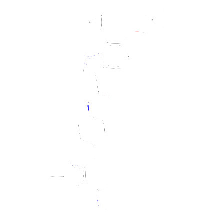 Cc1nc(O[C@H]2CC[C@H](NC(=O)c3cnn4c(C5CC5)c(OCC(C)(C)O)ccc34)CC2)c(C(N)=O)s1